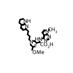 COCC(F)CN(CCCCc1ccc2c(n1)NCCC2)CCC(Nc1ncnc2c1ccn2C)C(=O)O